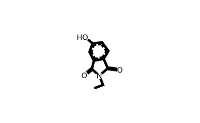 CCN1C(=O)c2ccc(O)cc2C1=O